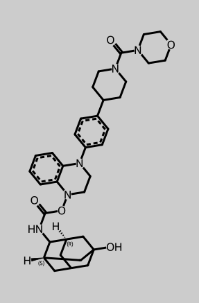 O=C(NC1[C@@H]2CC3C[C@H]1CC(O)(C3)C2)ON1CCN(c2ccc(C3CCN(C(=O)N4CCOCC4)CC3)cc2)c2ccccc21